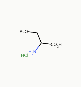 CC(=O)OCC(N)C(=O)O.Cl